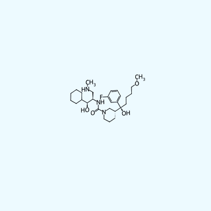 CNC[C@@H](NC(=O)N1CCC[C@@H]([C@@](O)(CCCCOC)c2cccc(F)c2)C1)[C@@H](O)C1CCCCC1